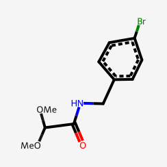 COC(OC)C(=O)NCc1ccc(Br)cc1